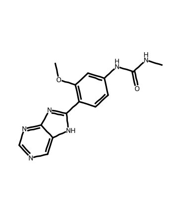 CNC(=O)Nc1ccc(-c2nc3ncncc3[nH]2)c(OC)c1